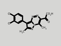 Cc1nn2c(C)c(C(=O)C(=O)O)nnc2c1-c1ccc(Cl)c(Cl)c1